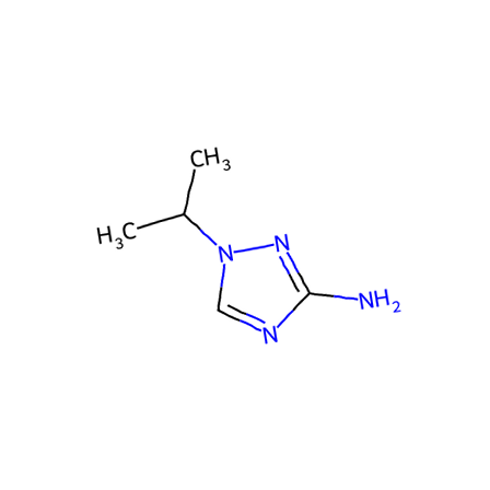 CC(C)n1cnc(N)n1